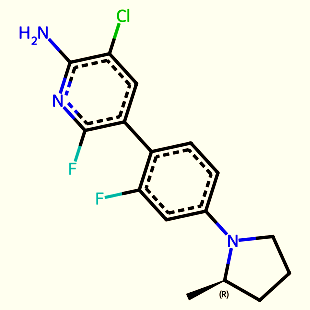 C[C@@H]1CCCN1c1ccc(-c2cc(Cl)c(N)nc2F)c(F)c1